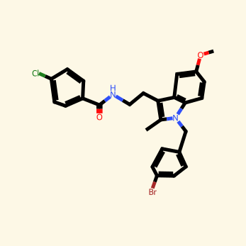 COc1ccc2c(c1)c(CCNC(=O)c1ccc(Cl)cc1)c(C)n2Cc1ccc(Br)cc1